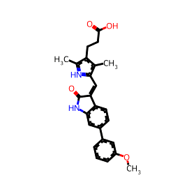 COc1cccc(-c2ccc3c(c2)NC(=O)C3=Cc2[nH]c(C)c(CCC(=O)O)c2C)c1